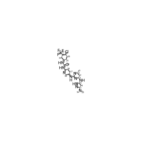 Cc1cc(Nc2cc(N(C)C)n[nH]2)nc(Nc2ccc(NC(=O)Nc3ccc(Cl)c(C(F)(F)F)c3)nc2)n1